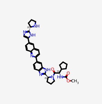 COC(=O)N[C@H](C(=O)N1CCC[C@H]1c1nc2ccc(-c3ccc4cc(-c5cnc([C@@H]6CCCN6)[nH]5)ccc4n3)cc2[nH]1)C1CCCC1